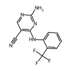 N#Cc1cnc(N)nc1Nc1ccccc1C(F)(F)F